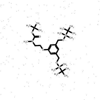 CN(CCOc1cc(CO[Si](C)(C)C(C)(C)C)cc(CO[Si](C)(C)C(C)(C)C)c1)C(=O)OC(C)(C)C